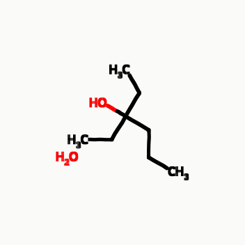 CCCC(O)(CC)CC.O